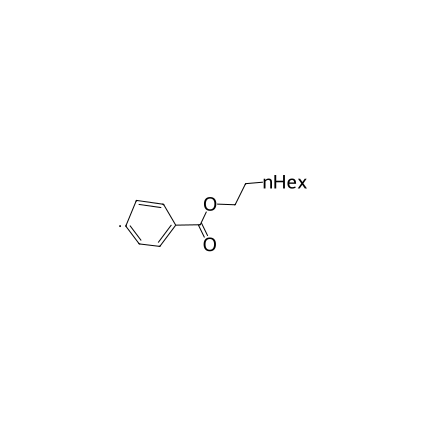 CCCCCCCCOC(=O)c1cc[c]cc1